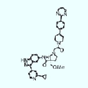 COC[C@@]1(C(=O)Nc2ccc3[nH]nc(-c4ccnc(C5CC5)c4)c3c2)CCN(CC(=O)N2CC=C(c3ccc(-c4ncccn4)cc3)CC2)C1